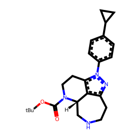 CC(C)(C)OC(=O)N1CCc2c3c(nn2-c2ccc(C4CC4)cc2)CCNC[C@@H]31